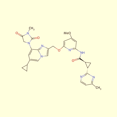 COc1cc(NC(=O)[C@H]2C[C@@H]2c2nccc(C)n2)nc(OCc2cn3cc(C4CC4)cc(N4CC(=O)N(C)C4=O)c3n2)c1